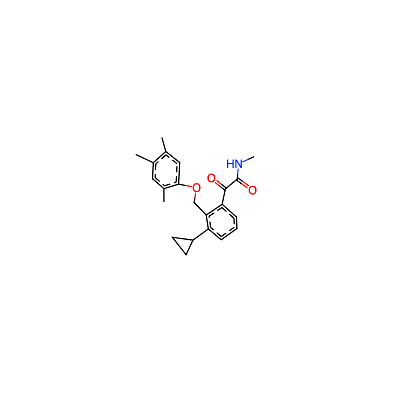 CNC(=O)C(=O)c1cccc(C2CC2)c1COc1cc(C)c(C)cc1C